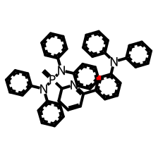 C=P(C1CC=CC(c2cccc(N(c3ccccc3)c3ccccc3)c2)=N1)(N(c1ccccc1)c1ccccc1)N(c1ccccc1)c1ccccc1